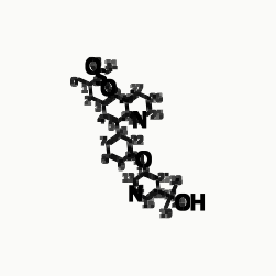 CC(Cc1cc(-c2cccc(Oc3cncc(C(C)(C)O)c3)c2)c2ncccc2c1)S(C)(=O)=O